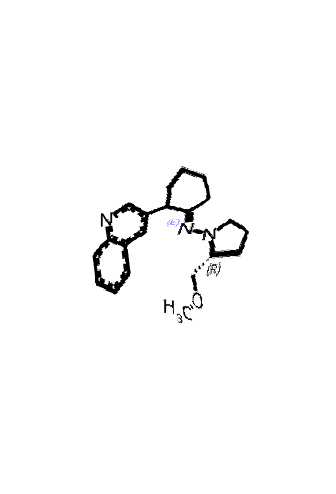 COC[C@H]1CCCN1/N=C1\CCCCC1c1cnc2ccccc2c1